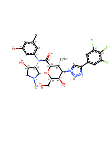 CO[C@@H]1[C@@H](n2cc(-c3cc(F)c(F)c(F)c3)nn2)[C@@H](O)[C@@H](CO)O[C@H]1C(=O)N(c1cc(C)cc(Br)c1)[C@@H]1CN(C(C)=O)C[C@H]1O